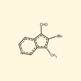 Cn1c(C(C)(C)C)c(C=O)c2ccncc21